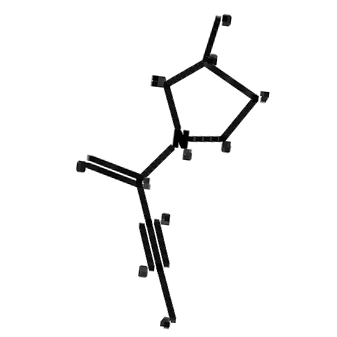 C=C(C#CC)N1CCC(C)C1